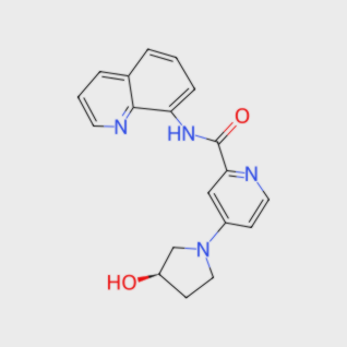 O=C(Nc1cccc2cccnc12)c1cc(N2CC[C@@H](O)C2)ccn1